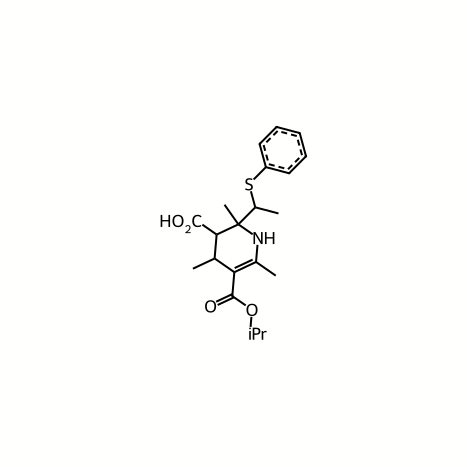 CC1=C(C(=O)OC(C)C)C(C)C(C(=O)O)C(C)(C(C)Sc2ccccc2)N1